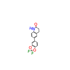 O=C1CCc2cc(-c3ccc4c(c3)OC(F)(F)O4)ccc2N1